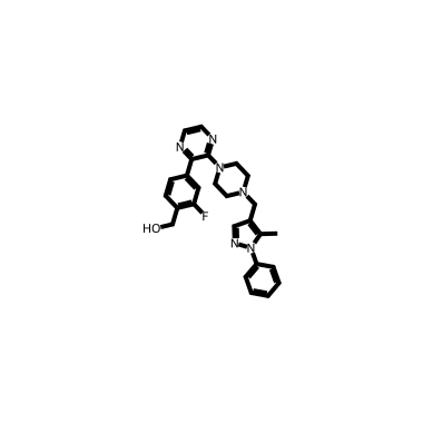 Cc1c(CN2CCN(c3nccnc3-c3ccc(CO)c(F)c3)CC2)cnn1-c1ccccc1